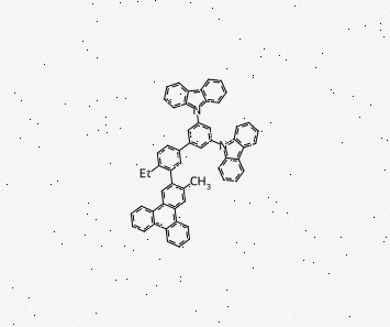 CCc1ccc(-c2cc(-n3c4ccccc4c4ccccc43)cc(-n3c4ccccc4c4ccccc43)c2)cc1-c1cc2c3ccccc3c3ccccc3c2cc1C